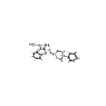 COC(=O)C(N)(CCN1CCN(c2ccncc2)CC1)Oc1ccccc1